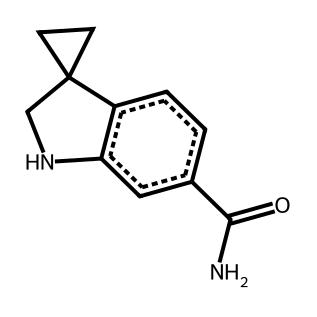 NC(=O)c1ccc2c(c1)NCC21CC1